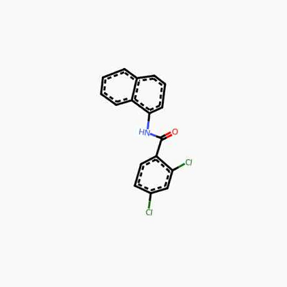 O=C(Nc1cccc2ccccc12)c1ccc(Cl)cc1Cl